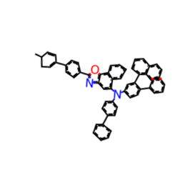 CC1C=CC(c2ccc(-c3nc4cc(N(c5ccc(-c6ccccc6)cc5)c5ccc(-c6ccccc6)c(-c6cccc7ccccc67)c5)c5ccccc5c4o3)cc2)=CC1